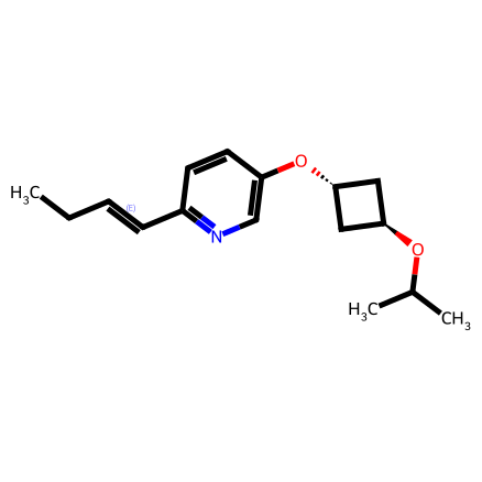 CC/C=C/c1ccc(O[C@H]2C[C@H](OC(C)C)C2)cn1